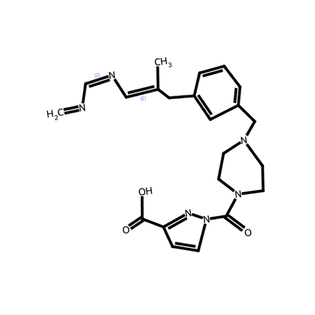 C=N/C=N\C=C(/C)Cc1cccc(CN2CCN(C(=O)n3ccc(C(=O)O)n3)CC2)c1